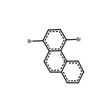 Brc1ccc(Br)c2c1ccc1ccccc12